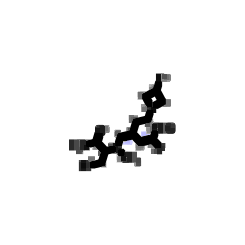 CC(C)CC(C(N)=O)N(C)/C=C(\C=C(\F)C=O)CCN1CC(F)C1